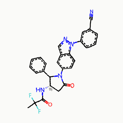 CC(F)(F)C(=O)N[C@H]1CC(=O)N(c2ccc3c(cnn3-c3cccc(C#N)c3)c2)C1c1ccccc1